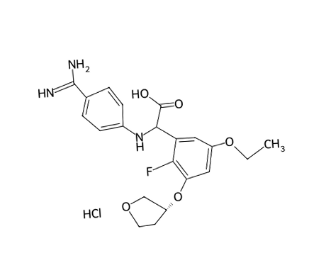 CCOc1cc(O[C@@H]2CCOC2)c(F)c(C(Nc2ccc(C(=N)N)cc2)C(=O)O)c1.Cl